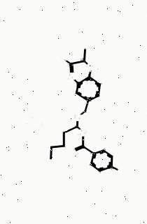 CCCCC(NCc1ccc2c(c1)N=C(N)C(C)O2)NC(=O)c1ccc(Cl)cc1.Cl.Cl